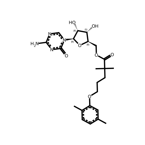 Cc1ccc(C)c(OCCCC(C)(C)C(=O)OC[C@H]2O[C@@H](n3cnc(N)nc3=O)[C@H](O)[C@@H]2O)c1